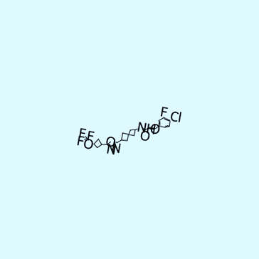 O=C(COc1ccc(Cl)c(F)c1)NC1CC2(C1)CC(c1nnc(C3CC(OC(F)(F)F)C3)o1)C2